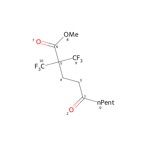 CCCCCC(=O)CCC(C(=O)OC)(C(F)(F)F)C(F)(F)F